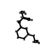 CCC1CCCC(OC(C)=O)C1